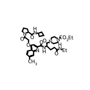 CCNC(=O)CCC(NC(=O)c1cc(OCC(=O)N2CCCC2C(=O)NC2CCC2)c2ccc(C)cc2n1)C(=O)N1CCN(C(=O)OCC)CC1